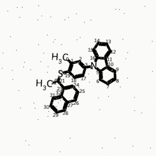 Cc1cc(-n2c3ccccc3c3ccccc32)ccc1S[C@H](C)c1cccc2ccccc12